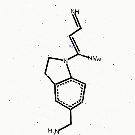 CN/C(=C\C=N)N1CCc2cc(CN)ccc21